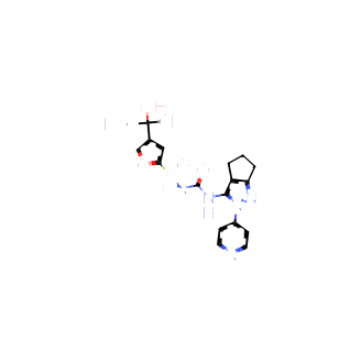 CC(C)(O)c1coc(S(=O)(=O)NC(=O)Nc2c3c(nn2-c2ccncc2)CCC3)c1